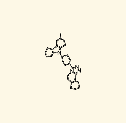 Cc1ccc2c(c1)c1ccccc1n2-c1ccc(-c2nnc3c4ccccc4ccn23)cc1